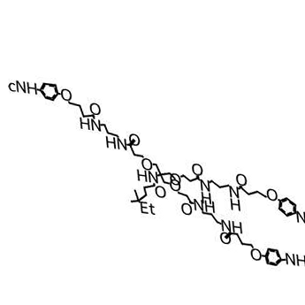 CCC(C)(C)CCC(=O)NC(COCCC(=O)NCCCNC(=O)CCCOc1ccc(NC(C)=O)cc1)(COCCC(=O)NCCCNC(=O)CCCOc1ccc(NC(C)=O)cc1)COCCC(=O)NCCCNC(=O)CCCOc1ccc(NC(C)=O)cc1